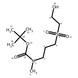 CN(CCCS(=O)(=O)CCO)C(=O)OC(C)(C)C